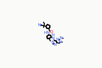 CCC(C)(C#N)c1cccc(C(=O)Nc2ccc(C)c(Nc3ncnc4c3N=C(N(C)C)N(C)C4)c2)c1